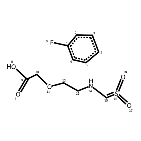 Fc1ccccc1.O=C(O)COCCNC=S(=O)=O